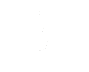 CCCCCCCCCC(CCN(C)C)C(=O)O